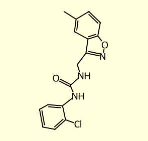 Cc1ccc2onc(CNC(=O)Nc3ccccc3Cl)c2c1